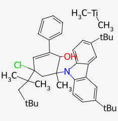 CC(C)(C)CC(C)(C)C1(Cl)C=C(c2ccccc2)C(O)C(C)(n2c3ccc(C(C)(C)C)cc3c3cc(C(C)(C)C)ccc32)C1.[CH3][Ti][CH3]